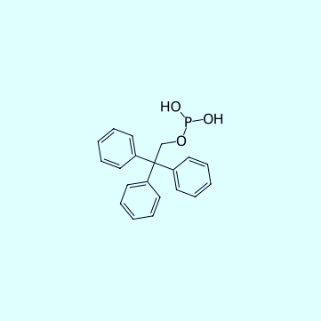 OP(O)OCC(c1ccccc1)(c1ccccc1)c1ccccc1